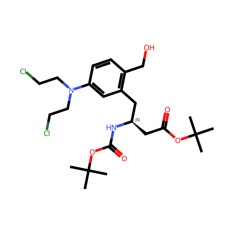 CC(C)(C)OC(=O)C[C@H](Cc1cc(N(CCCl)CCCl)ccc1CO)NC(=O)OC(C)(C)C